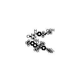 O=S(=O)(O)OCCS(=O)(=O)c1ccc(Nc2nc(Cl)nc(Nc3cc(S(=O)(=O)[O-])cc4cc(S(=O)(=O)[O-])c(N=Nc5ccccc5S(=O)(=O)[O-])c([O-])c34)n2)cc1.[Na+].[Na+].[Na+].[Na+]